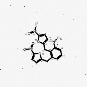 O=[N+]([O-])c1ccc(Cc2[c]ccc([N+](=O)[O-])c2Cc2ccc([N+](=O)[O-])o2)o1